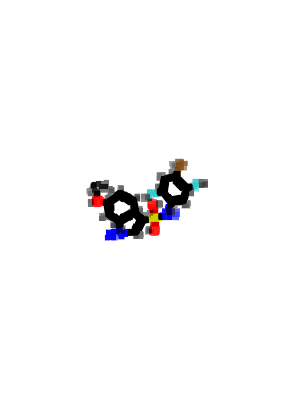 COc1ccc2c(S(=O)(=O)Nc3cc(F)c(Br)cc3F)c[nH]c2c1